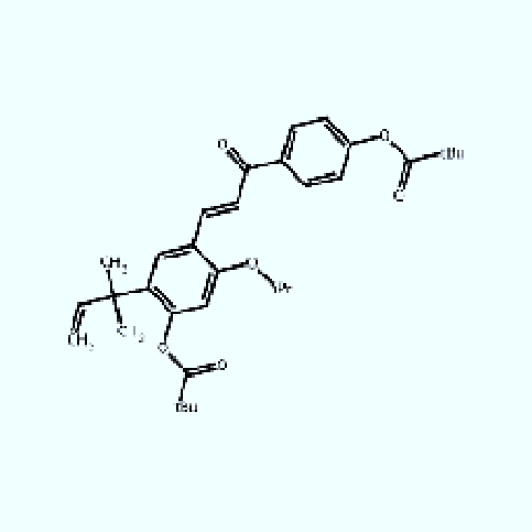 C=CC(C)(C)c1cc(C=CC(=O)c2ccc(OC(=O)C(C)(C)C)cc2)c(OC(C)C)cc1OC(=O)C(C)(C)C